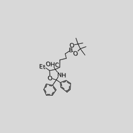 CCC1OC(c2ccccc2)(c2ccccc2)NC1(C=O)CCCCB1OC(C)(C)C(C)(C)O1